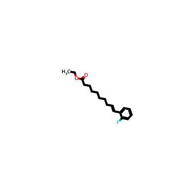 CCOC(=O)CCCCCCC/C=C/c1ccccc1F